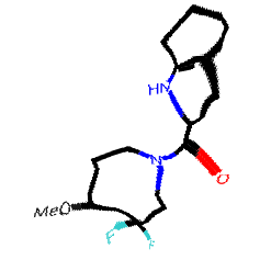 COC1CCN(C(=O)C2CC3=C(CCC3)N2)CC1(F)F